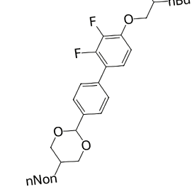 CCCCCCCCCC1COC(c2ccc(-c3ccc(OCC(C)CCCC)c(F)c3F)cc2)OC1